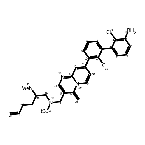 Bc1cccc(-c2cccc(C3=CC4=NC=C(CN(CC(CCC=C)NC)C(C)(C)C)C(=C)N4C=C3)c2Cl)c1Cl